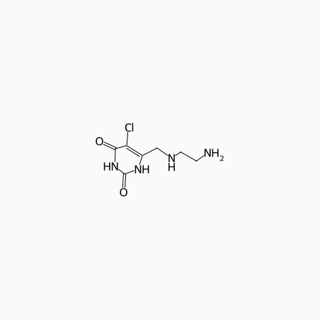 NCCNCc1[nH]c(=O)[nH]c(=O)c1Cl